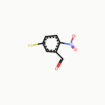 O=[C]c1cc(S)ccc1[N+](=O)[O-]